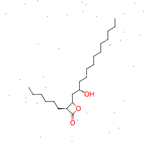 CCCCCCCCCCC[C@@H](O)CC1OC(=O)[C@H]1CCCCCC